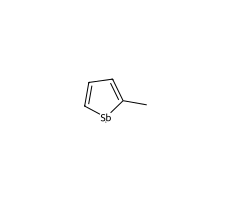 C[C]1=CC=[CH][Sb]1